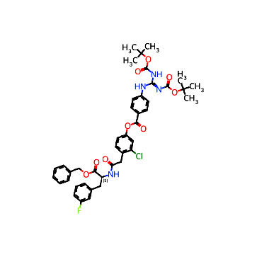 CC(C)(C)OC(=O)N=C(NC(=O)OC(C)(C)C)Nc1ccc(C(=O)Oc2ccc(CC(=O)N[C@@H](Cc3cccc(F)c3)C(=O)OCc3ccccc3)c(Cl)c2)cc1